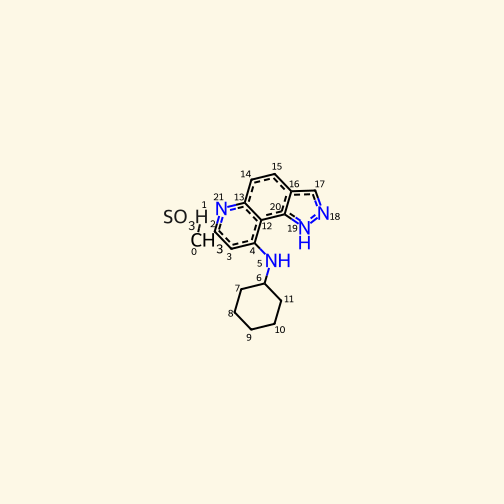 CS(=O)(=O)O.c1cc(NC2CCCCC2)c2c(ccc3cn[nH]c32)n1